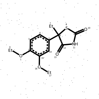 CCOc1ccc(C2(CC)SC(=O)NC2=O)cc1OCC